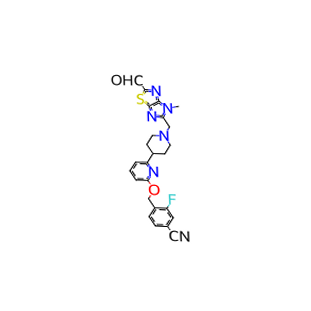 Cn1c(CN2CCC(c3cccc(OCc4ccc(C#N)cc4F)n3)CC2)nc2sc(C=O)nc21